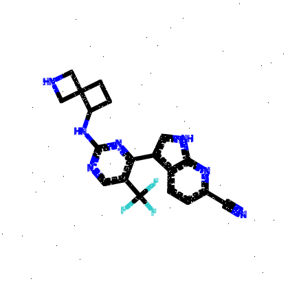 N#Cc1ccc2c(-c3nc(NC4CCC45CNC5)ncc3C(F)(F)F)c[nH]c2n1